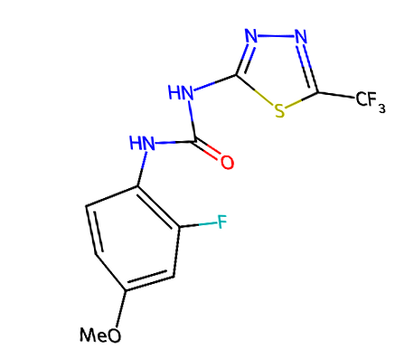 COc1ccc(NC(=O)Nc2nnc(C(F)(F)F)s2)c(F)c1